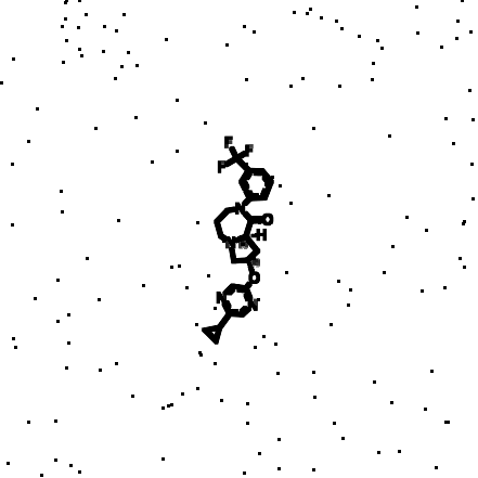 O=C1[C@H]2C[C@@H](Oc3cnc(C4CC4)cn3)CN2CCCN1c1cccc(C(F)(F)F)c1